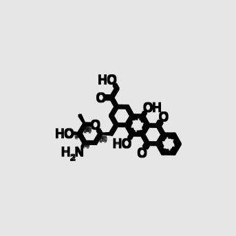 C[C@H]1O[C@@H](CC2CC(C(=O)CO)Cc3c(O)c4c(c(O)c32)C(=O)c2ccccc2C4=O)C[C@H](N)[C@H]1O